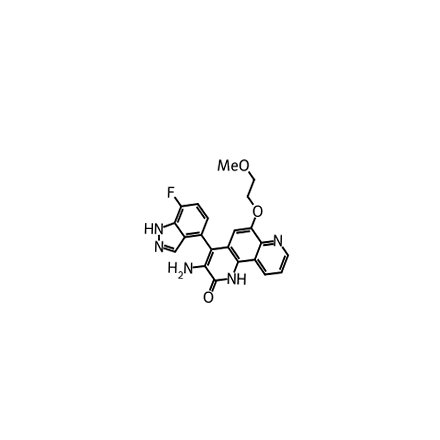 COCCOc1cc2c(-c3ccc(F)c4[nH]ncc34)c(N)c(=O)[nH]c2c2cccnc12